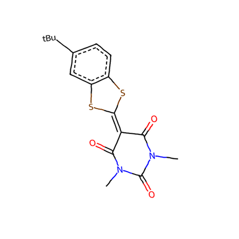 CN1C(=O)C(=C2Sc3ccc(C(C)(C)C)cc3S2)C(=O)N(C)C1=O